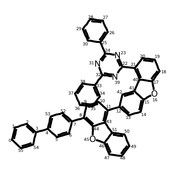 c1ccc(-c2ccc(-c3ccc(-c4ccc5oc6cccc(-c7nc(-c8ccccc8)nc(-c8ccccc8)n7)c6c5c4)c4c3oc3ccccc34)cc2)cc1